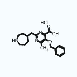 Cc1nc(CC2CCCNCC2)nc(C(=O)O)c1OCc1ccccc1.Cl